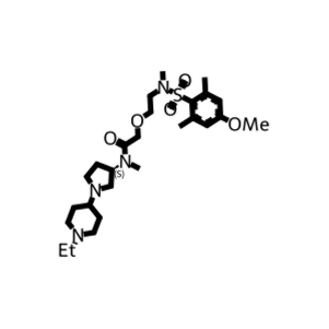 CCN1CCC(N2CC[C@H](N(C)C(=O)COCCN(C)S(=O)(=O)c3c(C)cc(OC)cc3C)C2)CC1